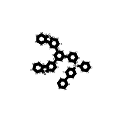 c1ccc(-c2ccc(N(c3ccccc3)c3cccc(-c4cc(-c5ccc6sc7ccccc7c6c5)cc(-c5ccc6sc7ccccc7c6c5)c4)c3)cc2)cc1